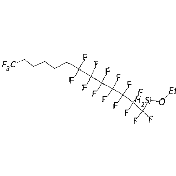 CCO[SiH2]C(F)(F)C(F)(F)C(F)(F)C(F)(F)C(F)(F)C(F)(F)C(F)(F)CCCCCC(F)(F)F